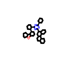 c1ccc(-c2nc(-c3ccccc3-c3cccc4oc5ccccc5c34)nc(-c3cc4ccc5ccccc5c4c4ccccc34)n2)cc1